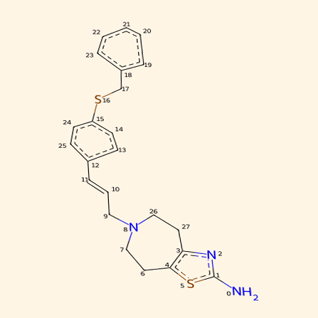 Nc1nc2c(s1)CCN(CC=Cc1ccc(SCc3ccccc3)cc1)CC2